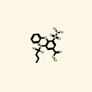 [2H]OC(=O)c1cc(N([2H])C([2H])([2H])CCC)c(Oc2ccccc2)c(S(=O)(=O)N([2H])[2H])c1